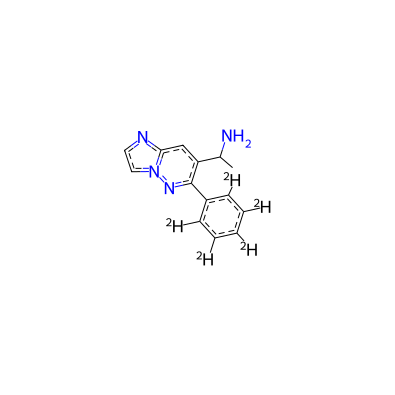 [2H]c1c([2H])c([2H])c(-c2nn3ccnc3cc2C(C)N)c([2H])c1[2H]